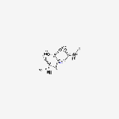 CNC(=O)/C=C(/CC(=O)NC)C(=O)O